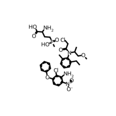 CCc1cccc(C)c1N(C(=O)CCl)C(C)COC.CP(=O)(O)CCC(N)C(=O)O.Nc1c([N+](=O)[O-])ccc(Oc2ccccc2)c1Cl